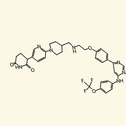 O=C1CCC(c2ccc(N3CCC(CNCCOc4ccc(-c5cc(Nc6ccc(OC(F)(F)F)cc6)ncn5)cc4)CC3)nc2)C(=O)N1